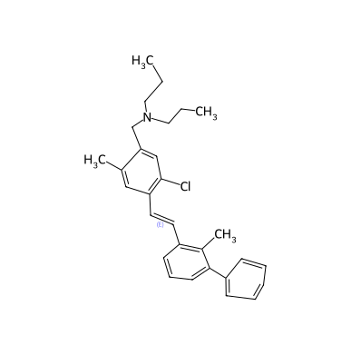 CCCN(CCC)Cc1cc(Cl)c(/C=C/c2cccc(-c3ccccc3)c2C)cc1C